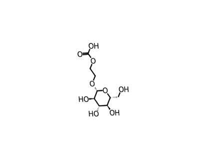 O=C(O)OCCO[C@@H]1O[C@H](CO)[C@@H](O)[C@H](O)[C@H]1O